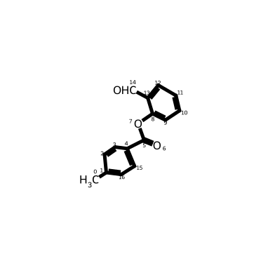 Cc1ccc(C(=O)Oc2ccccc2C=O)cc1